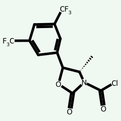 C[C@H]1C(c2cc(C(F)(F)F)cc(C(F)(F)F)c2)OC(=O)N1C(=O)Cl